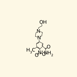 Cc1cc(N2CCN(CCO)CC2)cc(C(N)=O)c1[N+](=O)[O-]